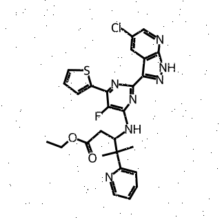 CCOC(=O)CC(Nc1nc(-c2n[nH]c3ncc(Cl)cc23)nc(-c2cccs2)c1F)C(C)(C)c1ccccn1